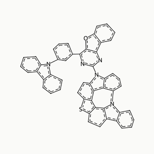 c1cc(-c2nc(-n3c4ccc5sc6ccc7c8ccccc8n8c9cccc3c9c4c5c6c78)nc3c2oc2ccccc23)cc(-n2c3ccccc3c3ccccc32)c1